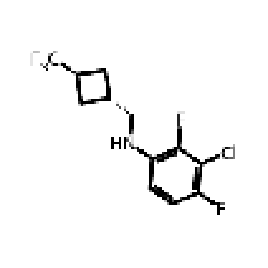 Fc1ccc(NC[C@H]2C[C@H](C(F)(F)F)C2)c(F)c1Cl